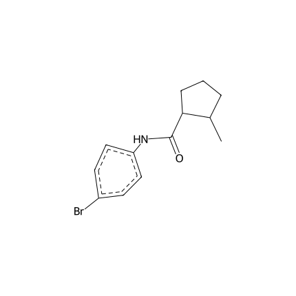 CC1CCCC1C(=O)Nc1ccc(Br)cc1